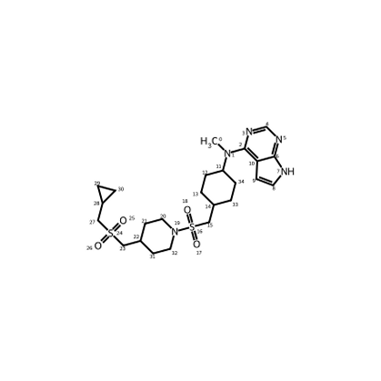 CN(c1ncnc2[nH]ccc12)C1CCC(CS(=O)(=O)N2CCC(CS(=O)(=O)CC3CC3)CC2)CC1